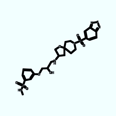 CNS(=O)(=O)c1cccc(OCC(O)CNC2COC3(CCN(S(=O)(=O)c4ccc5nsnc5c4)CC3)C2)c1